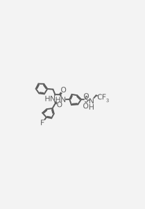 O=C(NC(Cc1ccccc1)C(=O)Nc1ccc(S(=O)(=O)NCC(F)(F)F)cc1)c1ccc(F)cc1